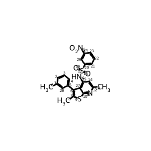 Cc1cccc(-c2c(C)sc3nc(C)cc(NS(=O)(=O)c4cccc([N+](=O)[O-])c4)c23)c1